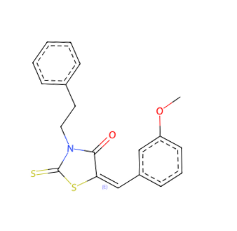 COc1cccc(/C=C2/SC(=S)N(CCc3ccccc3)C2=O)c1